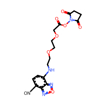 O=Nc1ccc(NCCOCCOCC(=O)ON2C(=O)CCC2=O)c2nonc12